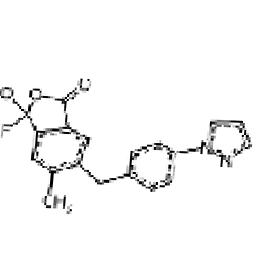 Cc1cc2c(cc1Cc1ccc(-n3cccn3)cc1)C(=O)OC2(O)F